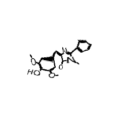 COc1cc(C=C2N=C(c3ccccc3)N(C)C2=O)cc(OC)c1O